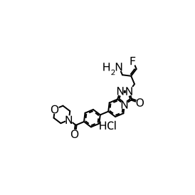 Cl.NC/C(=C\F)Cn1nc2cc(-c3ccc(C(=O)N4CCOCC4)cc3)ccn2c1=O